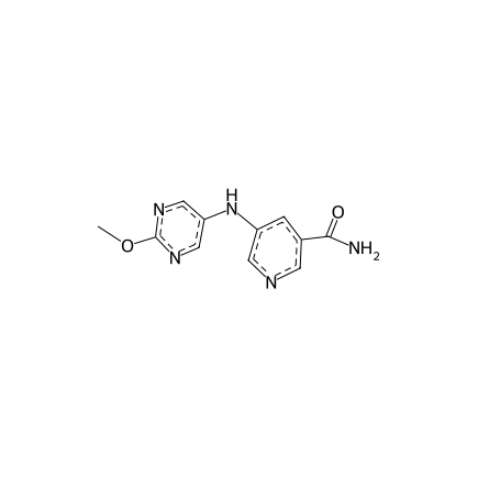 COc1ncc(Nc2cncc(C(N)=O)c2)cn1